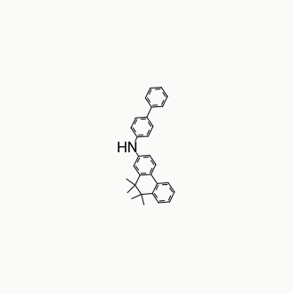 CC1(C)c2ccccc2-c2ccc(Nc3ccc(-c4ccccc4)cc3)cc2C1(C)C